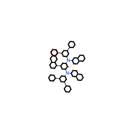 c1ccc(-c2cc(-c3ccccc3)cc(N3c4cc5ccccc5cc4B4c5cc6ccccc6cc5N(c5cc(-c6ccccc6)cc(-c6ccccc6)c5)c5cc(-c6cccc7cc8ccccc8cc67)cc3c54)c2)cc1